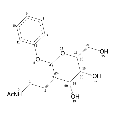 CC(=O)NCC[C@@H]1C(Oc2ccccc2)O[C@H](CO)[C@H](O)[C@@H]1O